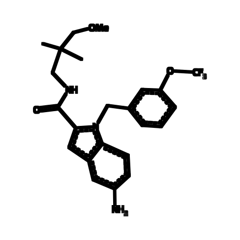 COCC(C)(C)CNC(=O)c1cc2cc(N)ccc2n1Cc1cccc(OC(F)(F)F)c1